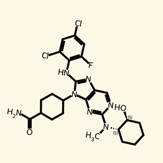 CN(c1ncc2nc(Nc3c(F)cc(Cl)cc3Cl)n(C3CCC(C(N)=O)CC3)c2n1)[C@H]1CCCC[C@@H]1O